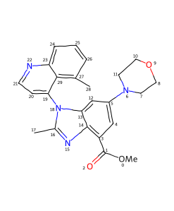 COC(=O)c1cc(N2CCOCC2)cc2c1nc(C)n2-c1ccnc2cccc(C)c12